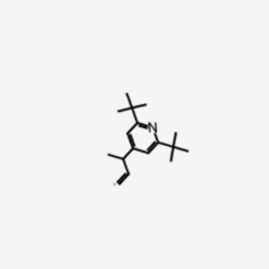 [CH]=CC(C)c1cc(C(C)(C)C)nc(C(C)(C)C)c1